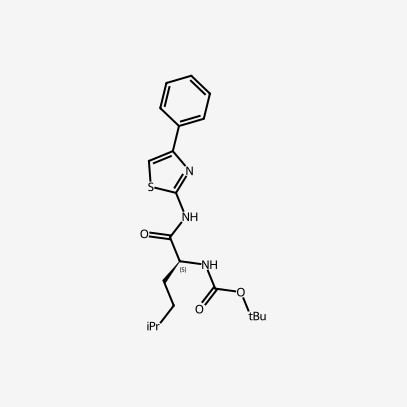 CC(C)CC[C@H](NC(=O)OC(C)(C)C)C(=O)Nc1nc(-c2ccccc2)cs1